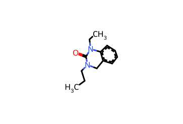 CCCN1Cc2ccccc2N(CC)C1=O